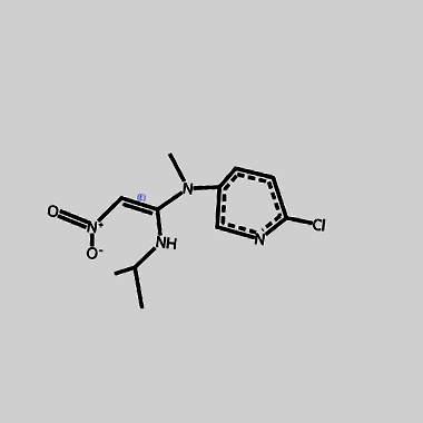 CC(C)N/C(=C\[N+](=O)[O-])N(C)c1ccc(Cl)nc1